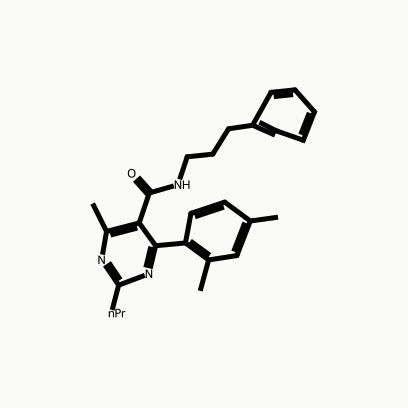 CCCc1nc(C)c(C(=O)NCCCc2ccccc2)c(-c2ccc(C)cc2C)n1